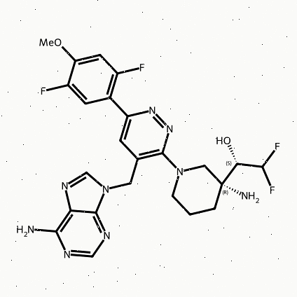 COc1cc(F)c(-c2cc(Cn3cnc4c(N)ncnc43)c(N3CCC[C@](N)([C@H](O)C(F)F)C3)nn2)cc1F